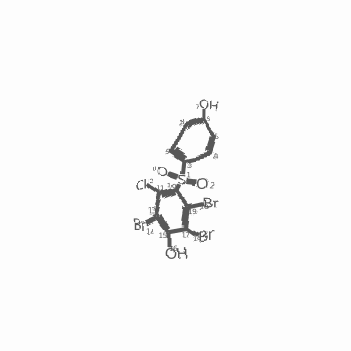 O=S(=O)(c1ccc(O)cc1)c1c(Cl)c(Br)c(O)c(Br)c1Br